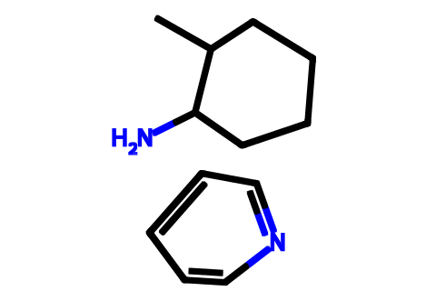 CC1CCCCC1N.c1ccncc1